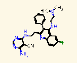 CN(C)CCNc1c(-c2ccccc2)c(CCNc2ncnc(N)c2C#N)nc2ccc(F)cc12